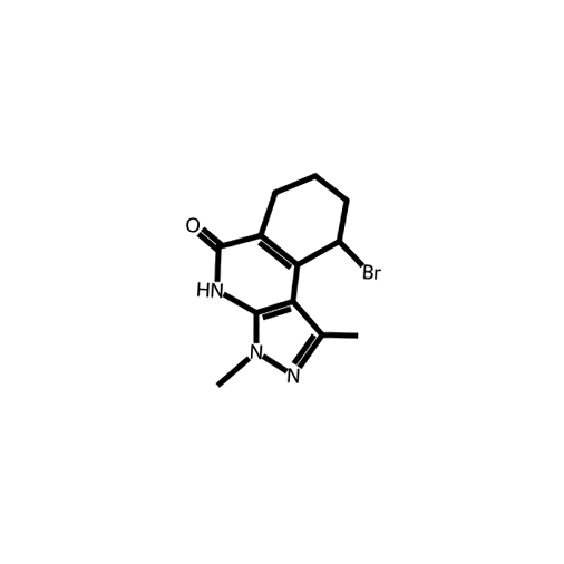 Cc1nn(C)c2[nH]c(=O)c3c(c12)C(Br)CCC3